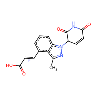 Cc1nn(C2C=CC(=O)NC2=O)c2cccc(/C=C/C(=O)O)c12